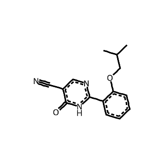 CC(C)COc1ccccc1-c1ncc(C#N)c(=O)[nH]1